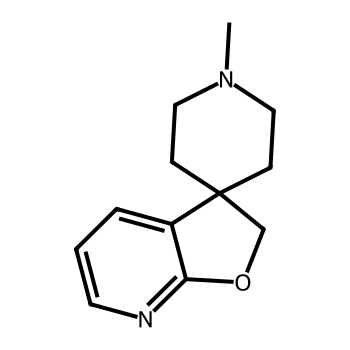 CN1CCC2(CC1)COc1ncccc12